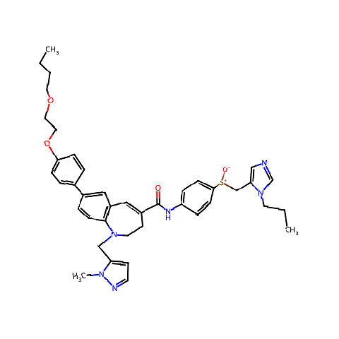 CCCCOCCOc1ccc(-c2ccc3c(c2)C=C(C(=O)Nc2ccc([S+]([O-])Cc4cncn4CCC)cc2)CCN3Cc2ccnn2C)cc1